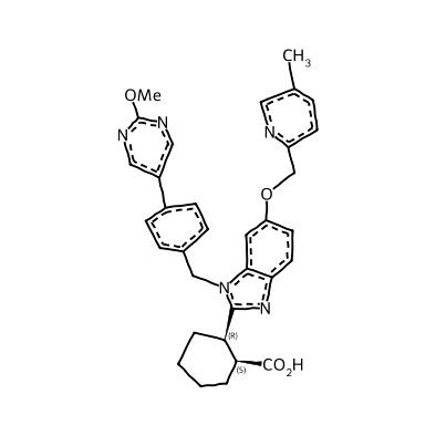 COc1ncc(-c2ccc(Cn3c([C@@H]4CCCC[C@@H]4C(=O)O)nc4ccc(OCc5ccc(C)cn5)cc43)cc2)cn1